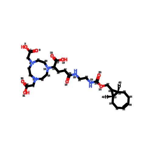 O=C(O)CN1CCN(CC(=O)O)CCN(C(CCC(=O)NCCNC(=O)OCC2[C@H]3CC/C=C\CC[C@@H]23)C(=O)O)CC1